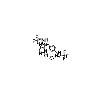 N=c1n(CC(F)(F)F)c2cnc(Cl)nc2n1Cc1ccc(-c2nc(C(F)(F)F)cn2C2CCC2)cc1